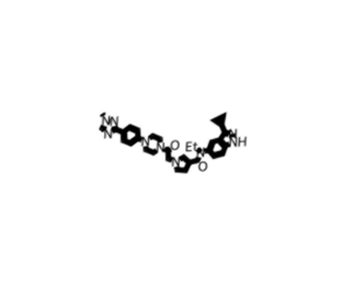 CCN(C(=O)C1CCN(CC(=O)N2CCN(c3ccc(-c4ncn(C)n4)cc3)CC2)C1)c1ccc2[nH]nc(C3CC3)c2c1